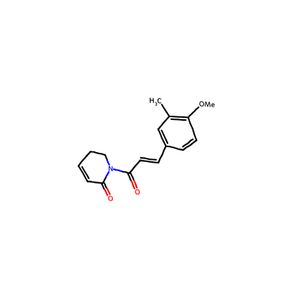 COc1ccc(/C=C/C(=O)N2CCC=CC2=O)cc1C